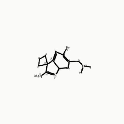 CCC1=C(CN(C)C)CC2N=C(NC)C3(CCC3)C2=C1